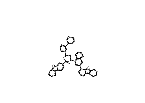 c1ccc(-c2cccc(-c3nc(-c4ccc5c(c4)oc4ccccc45)nc(-c4cc(-c5cccc6c5sc5ccccc56)cc5ccccc45)n3)c2)cc1